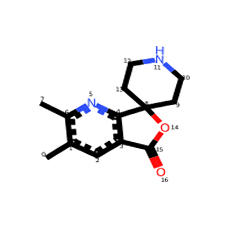 Cc1cc2c(nc1C)C1(CCNCC1)OC2=O